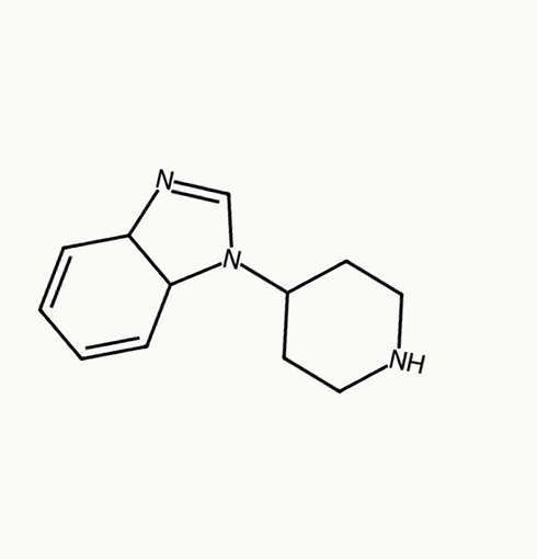 C1=CC2N=CN(C3CCNCC3)C2C=C1